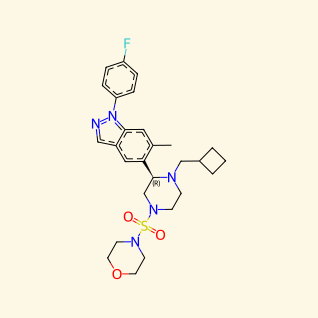 Cc1cc2c(cnn2-c2ccc(F)cc2)cc1[C@@H]1CN(S(=O)(=O)N2CCOCC2)CCN1CC1CCC1